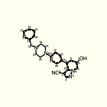 N#Cc1cnn2cc(O)cc(-c3ccc(N4CCN(Cc5ccccn5)CC4)nc3)c12